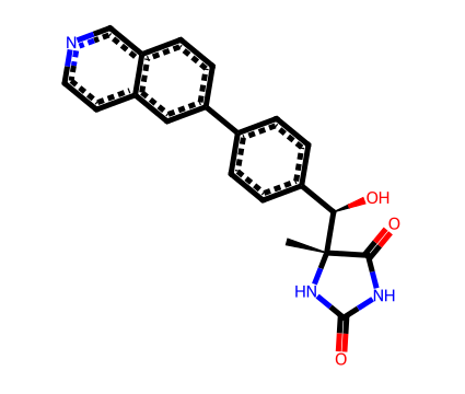 C[C@]1([C@H](O)c2ccc(-c3ccc4cnccc4c3)cc2)NC(=O)NC1=O